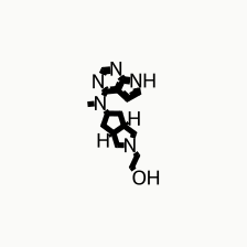 CN(c1ncnc2[nH]ccc12)C1C[C@@H]2CN(CCO)C[C@@H]2C1